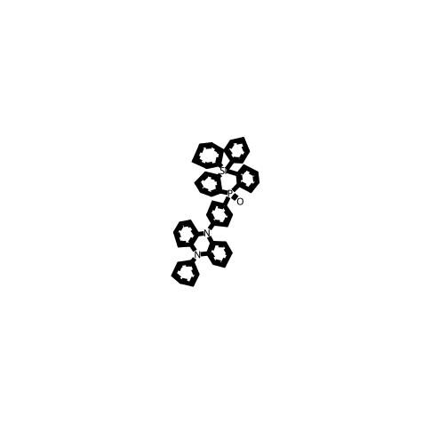 O=P1(c2ccc(N3c4ccccc4N(c4ccccc4)c4ccccc43)cc2)c2ccccc2[Si](c2ccccc2)(c2ccccc2)c2ccccc21